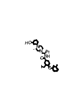 Cc1cccc(Oc2ccc(C(=O)N[C@H](CN3CCN(c4cccc(O)c4)[C@@H](C)C3)C(C)C)cc2CI)c1